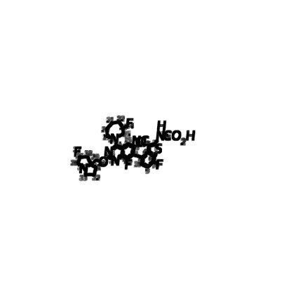 N#Cc1c(NC(=O)O)sc2c(F)ccc(-c3c(Cl)cc4c(N5CCCCC(F)C5)nc(OC[C@@]56CCCN5C[C@H](F)C6)nc4c3F)c12